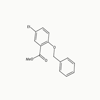 CCc1ccc(OCc2ccccc2)c(C(=O)OC)c1